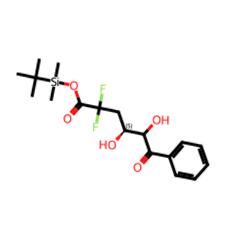 CC(C)(C)[Si](C)(C)OC(=O)C(F)(F)C[C@H](O)C(O)C(=O)c1ccccc1